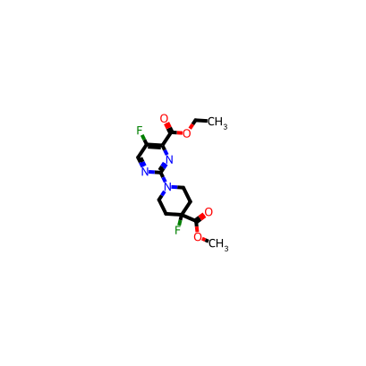 CCOC(=O)c1nc(N2CCC(F)(C(=O)OC)CC2)ncc1F